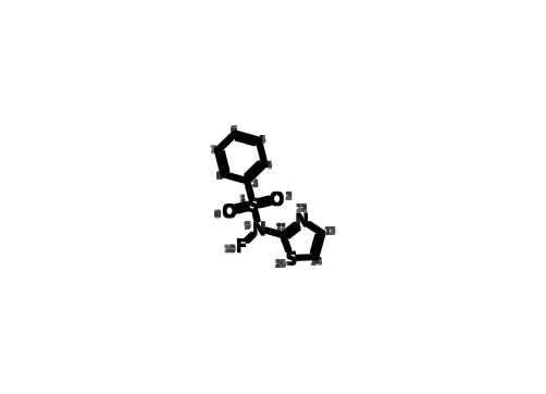 O=S(=O)(c1ccccc1)N(F)c1nccs1